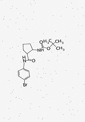 CC(C)(C)OC(=O)NC1CCCC1C(=O)Nc1ccc(Br)cc1